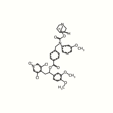 COc1cncc(N(Cc2ccc(C(=O)OC(Cc3c(Cl)c[n+]([O-])cc3Cl)c3ccc(OC)c(OC)c3)cc2)C(=O)O[C@H]2CN3CCC2CC3)c1